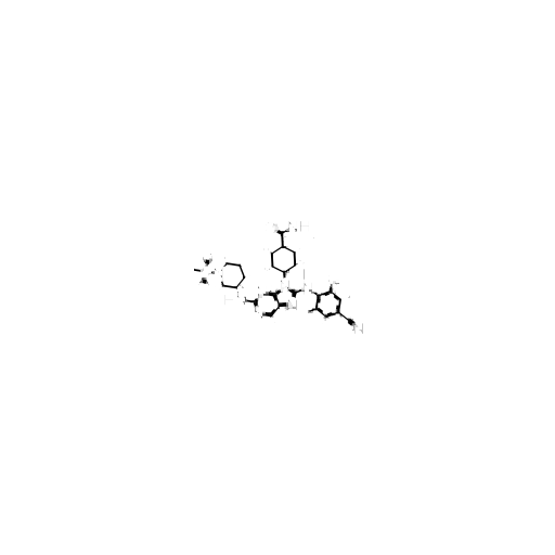 CS(=O)(=O)N1CCC[C@@H](Nc2ncc3nc(Nc4c(F)cc(C#N)cc4Cl)n(C4CCC(C(N)=O)CC4)c3n2)C1